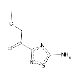 COCC(=O)c1nsc(N)n1